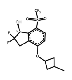 CC1CC(Oc2ccc(S(=O)(=O)C(F)(F)F)c3c2CC(F)(F)[C@H]3O)C1